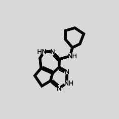 C1CCC(NC2=NNCC3=C4C(=NNN=C24)CC3)CC1